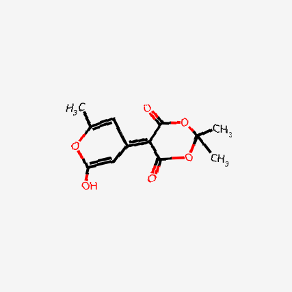 CC1=CC(=C2C(=O)OC(C)(C)OC2=O)C=C(O)O1